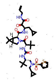 C=CCNC(=O)C(=O)C(CC1CC1)NC(=O)[C@@H]1[C@@H]2[C@H](CN1C(=O)[C@@H](NC(=O)N[C@H](CN(CC1CC1)S(=O)(=O)c1cccs1)C(C)(C)C)C(C)(C)C)C2(C)C